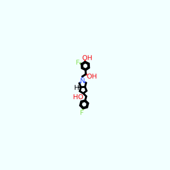 Oc1ccc(C(O)CN2CC3CC(O)(Cc4ccc(F)cc4)C[C@@H]3C2)cc1F